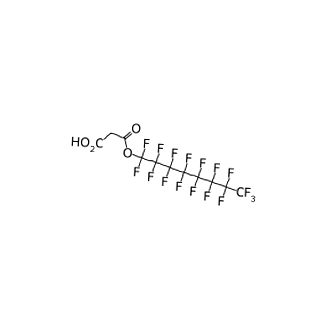 O=C(O)CC(=O)OC(F)(F)C(F)(F)C(F)(F)C(F)(F)C(F)(F)C(F)(F)C(F)(F)C(F)(F)F